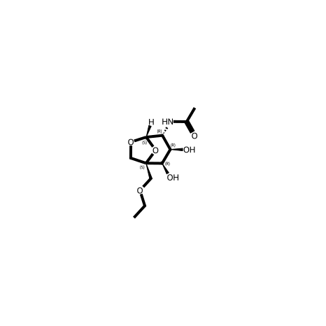 CCOC[C@@]12CO[C@@H](O1)[C@H](NC(C)=O)[C@@H](O)[C@H]2O